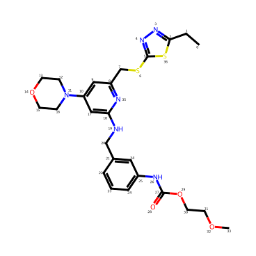 CCc1nnc(SCc2cc(N3CCOCC3)cc(NCc3cccc(NC(=O)OCCOC)c3)n2)s1